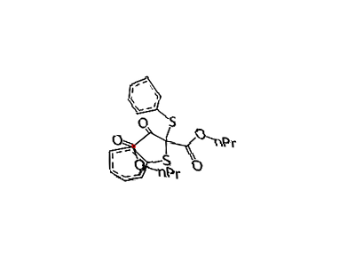 CCCOC(=O)C(=O)C(Sc1ccccc1)(Sc1ccccc1)C(=O)OCCC